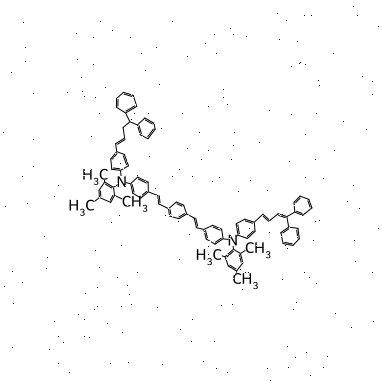 Cc1cc(C)c(N(c2ccc(C=CC=C(c3ccccc3)c3ccccc3)cc2)c2ccc(C=Cc3ccc(C=Cc4ccc(N(c5ccc(C=CCC(c6ccccc6)c6ccccc6)cc5)c5c(C)cc(C)cc5C)cc4)cc3)cc2)c(C)c1